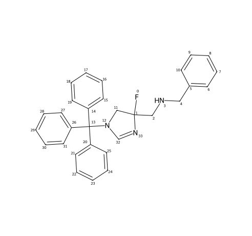 FC1(CNCc2ccccc2)CN(C(c2ccccc2)(c2ccccc2)c2ccccc2)C=N1